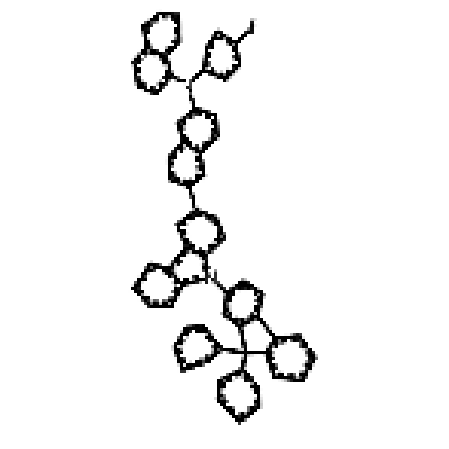 Fc1ccc(N(c2ccc3cc(-c4ccc5c(c4)c4ccccc4n5-c4ccc5c(c4)C(c4ccccc4)(c4ccccc4)c4ccccc4-5)ccc3c2)c2cccc3ccccc23)cc1